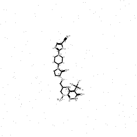 COCC(CO[C@@H]1CCN(C2CCN(c3ncc(C#N)s3)CC2)C1=O)Nc1cn[nH]c(=O)c1C(F)(F)F